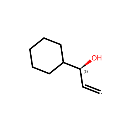 [CH]=C[C@H](O)C1CCCCC1